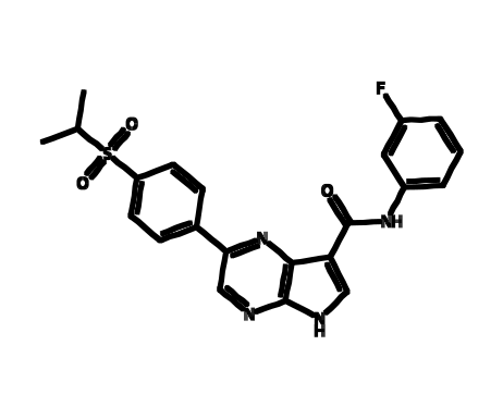 CC(C)S(=O)(=O)c1ccc(-c2cnc3[nH]cc(C(=O)Nc4cccc(F)c4)c3n2)cc1